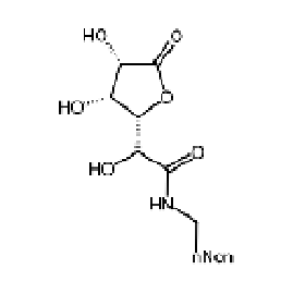 CCCCCCCCCCNC(=O)C(O)[C@H]1OC(=O)[C@@H](O)[C@H]1O